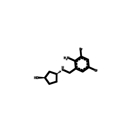 Nc1c(Br)cc(Br)cc1CN[C@@H]1CC[C@@H](O)C1